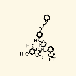 Cc1cc(C)c(OC(=O)N(Cc2ccccc2OC(F)(F)F)c2ccnc(Nc3ccc(OCCCN4CCCCC4)cc3)n2)c(C)c1